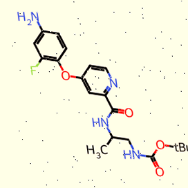 CC(CNC(=O)OC(C)(C)C)NC(=O)c1cc(Oc2ccc(N)cc2F)ccn1